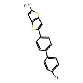 CCCc1cc2sc(-c3ccc(-c4ccc(CC)cc4)cc3)cc2s1